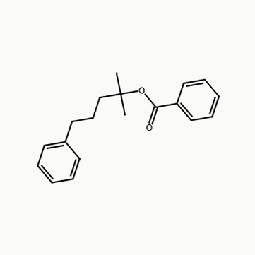 CC(C)(CCCc1ccccc1)OC(=O)c1ccccc1